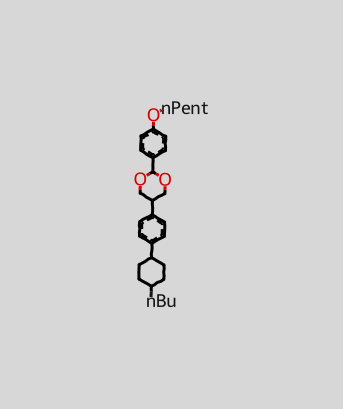 CCCCCOc1ccc(C2OCC(c3ccc(C4CCC(CCCC)CC4)cc3)CO2)cc1